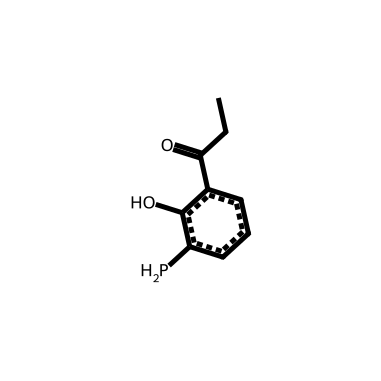 CCC(=O)c1cccc(P)c1O